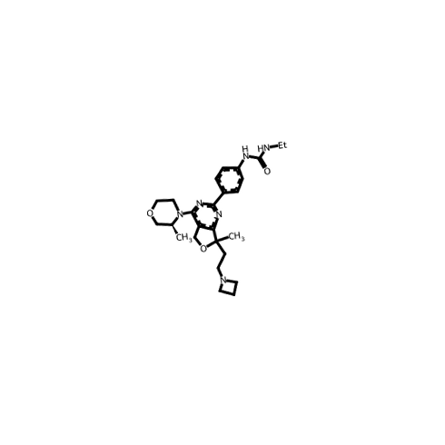 CCNC(=O)Nc1ccc(-c2nc(N3CCOC[C@@H]3C)c3c(n2)C(C)(CCN2CCC2)OC3)cc1